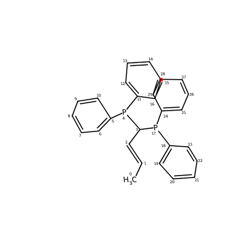 CC=CC(P(c1ccccc1)c1ccccc1)P(c1ccccc1)c1ccccc1